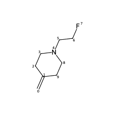 C=C1CCN(CCF)CC1